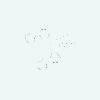 N=C=O.N=C=O.N=C=O.N=C=O.c1ccc(CCCc2ccccc2)cc1.c1ccc(CCc2ccccc2)cc1